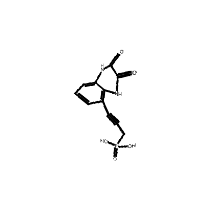 O=c1[nH]c2cccc(C#CCP(=O)(O)O)c2[nH]c1=O